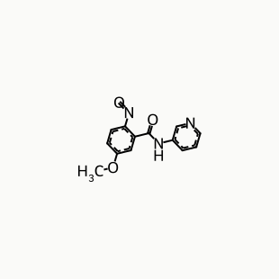 COc1ccc(N=O)c(C(=O)Nc2cccnc2)c1